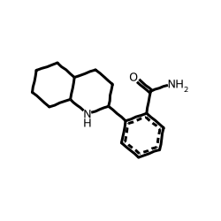 NC(=O)c1ccccc1C1CCC2CCCCC2N1